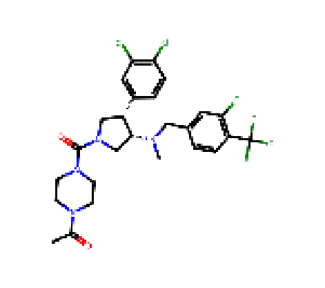 CC(=O)N1CCN(C(=O)N2C[C@H](c3ccc(Cl)c(Cl)c3)[C@H](N(C)Cc3ccc(C(F)(F)F)c(F)c3)C2)CC1